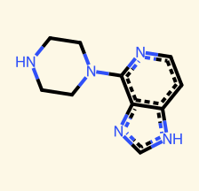 c1cc2[nH]cnc2c(N2CCNCC2)n1